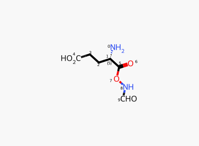 N[C@@H](CCC(=O)O)C(=O)ONC=O